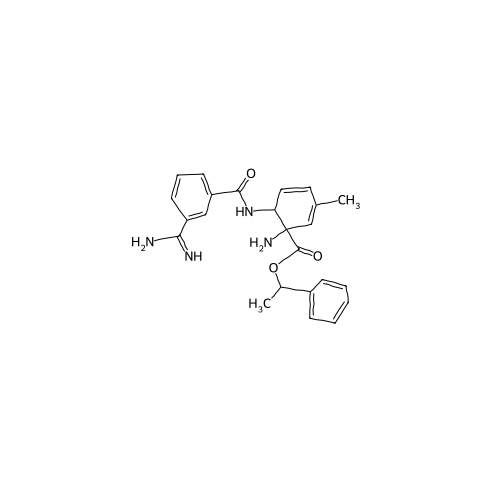 CC1=CC(N)(C(=O)OC(C)c2ccccc2)C(NC(=O)c2cccc(C(=N)N)c2)C=C1